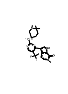 Cn1ccc2c(-c3nc(N[C@H]4CCC(C)(C)NC4)ncc3C(F)(F)F)c[nH]c2c1=O